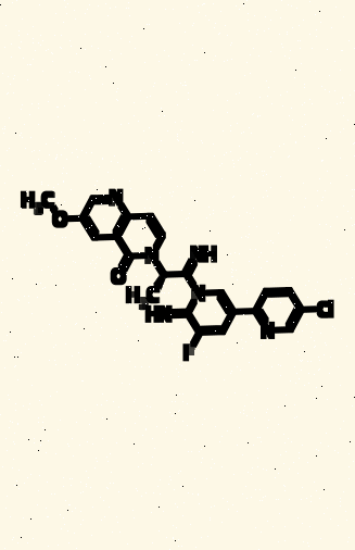 COc1cnc2ccn([C@H](C)C(=N)n3cc(-c4ccc(Cl)cn4)cc(F)c3=N)c(=O)c2c1